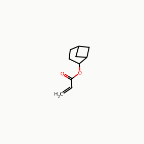 C=CC(=O)OC1CCC2CC1C2